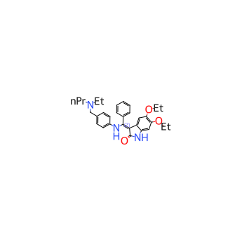 CCCN(CC)Cc1ccc(N/C(=C2\C(=O)Nc3cc(OCC)c(OCC)cc32)c2ccccc2)cc1